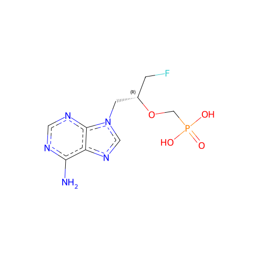 Nc1ncnc2c1ncn2C[C@H](CF)OCP(=O)(O)O